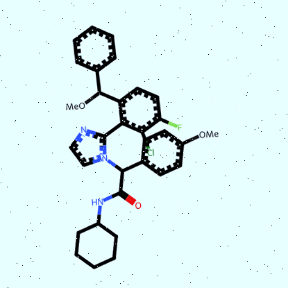 COc1ccc(C(C(=O)NC2CCCCC2)n2ccnc2-c2c(C(OC)c3ccccc3)ccc(F)c2Cl)cc1